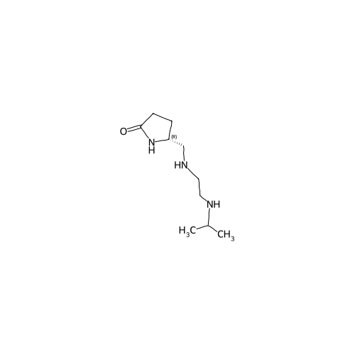 CC(C)NCCNC[C@H]1CCC(=O)N1